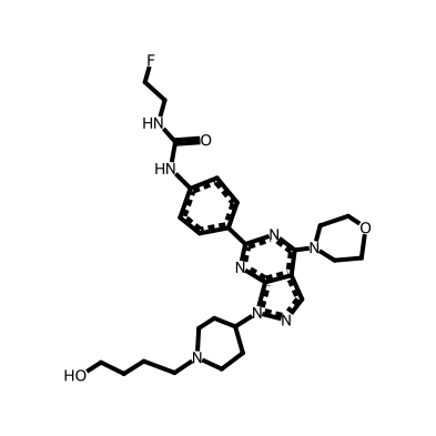 O=C(NCCF)Nc1ccc(-c2nc(N3CCOCC3)c3cnn(C4CCN(CCCCO)CC4)c3n2)cc1